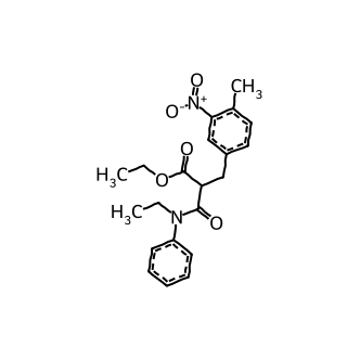 CCOC(=O)C(Cc1ccc(C)c([N+](=O)[O-])c1)C(=O)N(CC)c1ccccc1